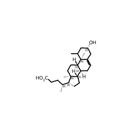 CC1C[C@H](O)CC2=CC[C@H]3[C@@H]4CC[C@H]([C@H](C)CCC(=O)O)[C@@]4(C)CC[C@@H]3[C@]21C